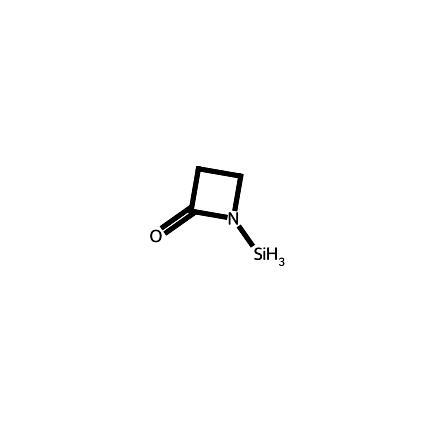 O=C1CCN1[SiH3]